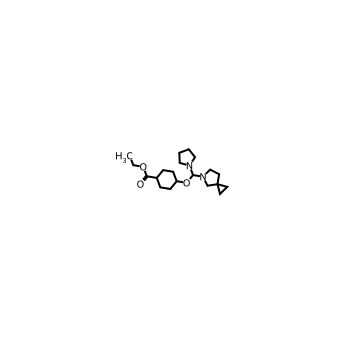 CCOC(=O)C1CCC(OC(N2CCCC2)N2CCC3(CC3)C2)CC1